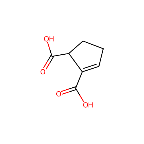 O=C(O)C1=CCCC1C(=O)O